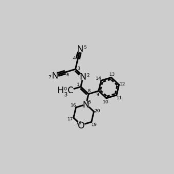 CC(N=C(C#N)C#N)=C(c1ccccc1)N1CCOCC1